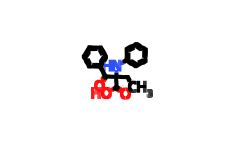 CCC(Nc1ccccc1)(C(=O)O)C(=O)c1ccccc1